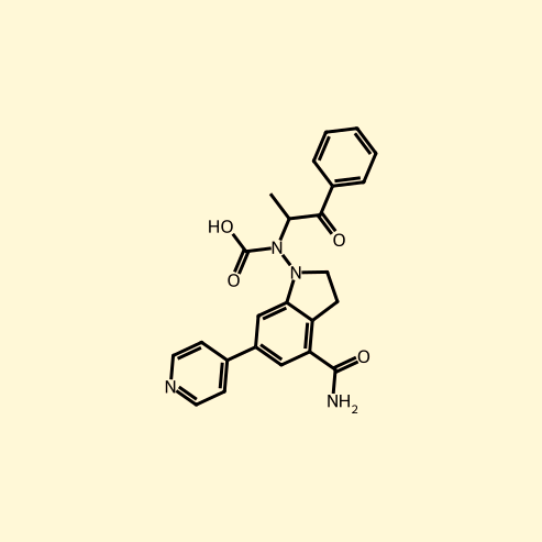 CC(C(=O)c1ccccc1)N(C(=O)O)N1CCc2c(C(N)=O)cc(-c3ccncc3)cc21